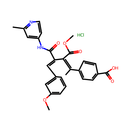 COC(=O)C(=C(/C)c1ccc(C(=O)O)cc1)/C(=C\c1cccc(OC)c1)C(=O)Nc1ccnc(C)c1.Cl